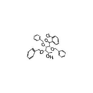 C[C@@H](O)[C@H](OCc1ccccc1)[C@H](OCc1ccccc1)[C@@H](OCc1ccccc1)C(=O)c1ccccc1Cl